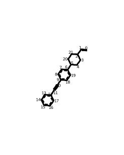 C=CC1CCC(c2ccc(C#Cc3ccccc3)cc2)CC1